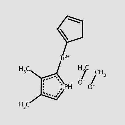 C[O-].C[O-].Cc1c[pH][c]([Ti+2][C]2=CC=CC2)c1C